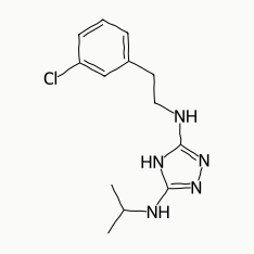 CC(C)Nc1nnc(NCCc2cccc(Cl)c2)[nH]1